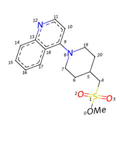 COS(=O)(=O)CC1CCN(c2ccnc3ccccc23)CC1